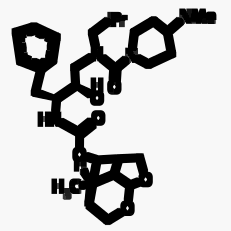 CNC1CCN(C(=O)N(CC(C)C)C[C@@H](O)[C@H](Cc2ccccc2)NC(=O)OC2C3COC4OCC2[C@H](C)C43)CC1